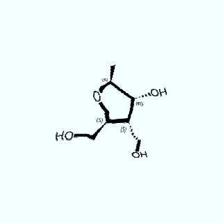 C[C@@H]1O[C@H](CO)[C@@H](CO)[C@H]1O